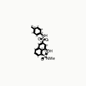 CNS(=O)(=O)c1cccc2cc(S(=O)(=O)Nc3ccc(C)cc3)cc(O)c12